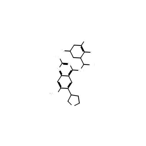 COc1cc2nc(C)nc(NC(C)C3CC(N)CC(C(F)(F)F)=C3F)c2cc1C1CCSC1